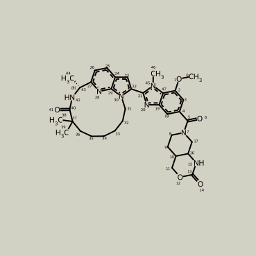 COc1cc(C(=O)N2CCC3COC(=O)NC3C2)cc2nc(-c3cc4ccc5nc4n3CCCCCCC(C)(C)C(=O)N[C@@H]5C)n(C)c12